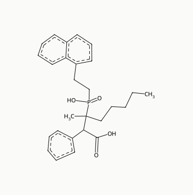 CCCCCC(C)(C(C(=O)O)c1ccccc1)P(=O)(O)CCc1cccc2ccccc12